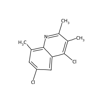 Cc1nc2c(C)cc(Cl)cc2c(Cl)c1C